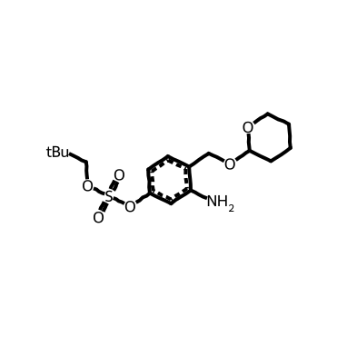 CC(C)(C)COS(=O)(=O)Oc1ccc(COC2CCCCO2)c(N)c1